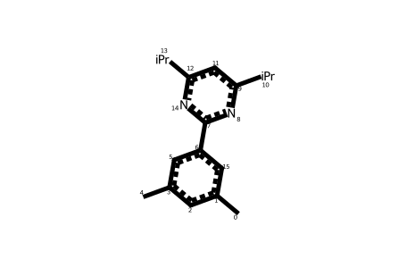 Cc1cc(C)cc(-c2nc(C(C)C)cc(C(C)C)n2)c1